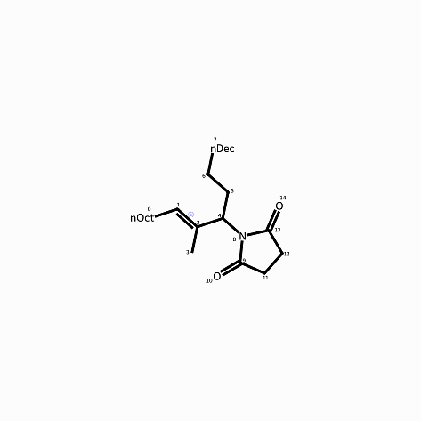 CCCCCCCC/C=C(\C)C(CCCCCCCCCCCC)N1C(=O)CCC1=O